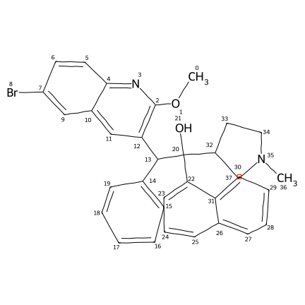 COc1nc2ccc(Br)cc2cc1C(c1ccccc1)C(O)(c1cccc2ccccc12)C1CCN(C)C1